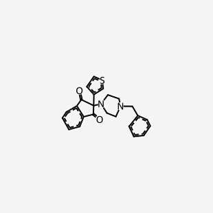 O=C1c2ccccc2C(=O)C1(c1ccsc1)N1CCN(Cc2ccccc2)CC1